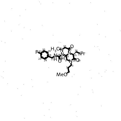 COCCCN1C[C@H]2N(C(=O)CN(C)N2C(=O)NCc2ccc(F)cc2)[C@@H](CC(C)C)C1=O